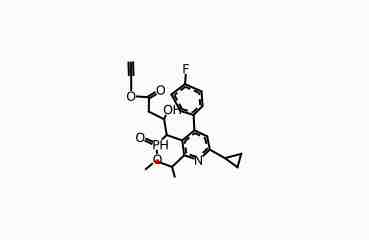 C#COC(=O)CC(O)C(c1c(-c2ccc(F)cc2)cc(C2CC2)nc1C(C)C)[PH](=O)OC